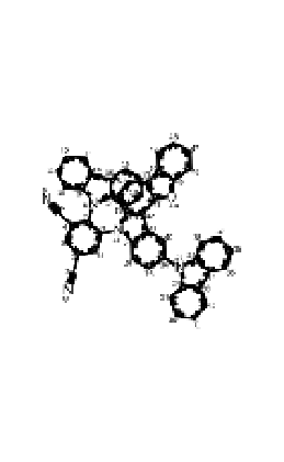 N#Cc1cc(C#N)c(-n2c3ccccc3c3ccccc32)c(-n2c3ccc(-n4c5ccccc5c5ccccc54)cc3c3c4oc5ccccc5c4ccc32)c1